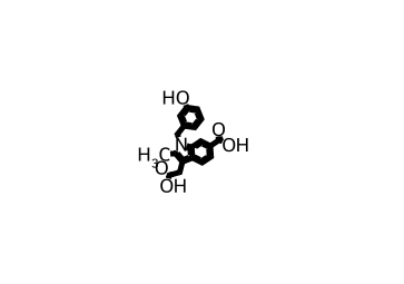 Cc1c(CC(=O)O)c2ccc(C(=O)O)cc2n1Cc1cccc(O)c1